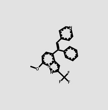 COc1ccc(C(=Cc2ccncc2)c2ccccc2)c2cc(C(F)(F)F)nn12